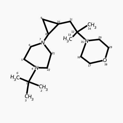 CC(C)(C)N1CCN(C2CC2CC(C)(C)N2CCOCC2)CC1